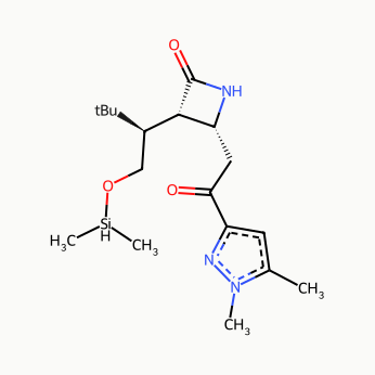 Cc1cc(C(=O)C[C@H]2NC(=O)[C@H]2[C@@H](CO[SiH](C)C)C(C)(C)C)nn1C